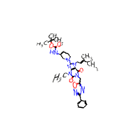 CC(C)=CCn1c(N2CCCC(NC(=O)OC(C)(C)C)C2)nc2c1c(=O)n(Cc1nc(-c3ccccc3)no1)c(=O)n2C